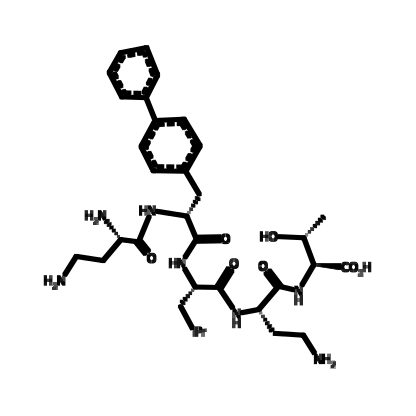 CC(C)C[C@H](NC(=O)[C@@H](Cc1ccc(-c2ccccc2)cc1)NC(=O)[C@@H](N)CCN)C(=O)N[C@@H](CCN)C(=O)N[C@H](C(=O)O)[C@@H](C)O